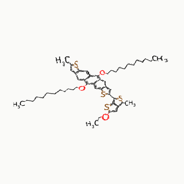 CCCCCCCCCCCCOc1c2cc3cc(-c4sc(C)c5cc(OCC)sc45)sc3cc2c(OCCCCCCCCCCCC)c2cc3cc(C)sc3cc12